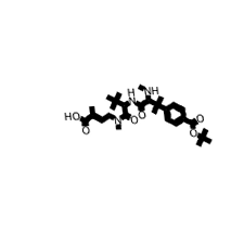 CNC(C(=O)NC(C(=O)N(C)C/C=C(\C)C(=O)O)C(C)(C)C)C(C)(C)c1ccc(C(=O)OC(C)(C)C)cc1